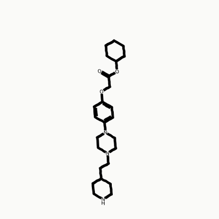 O=C(COc1ccc(N2CCN(CCC3CCNCC3)CC2)cc1)OC1CCCCC1